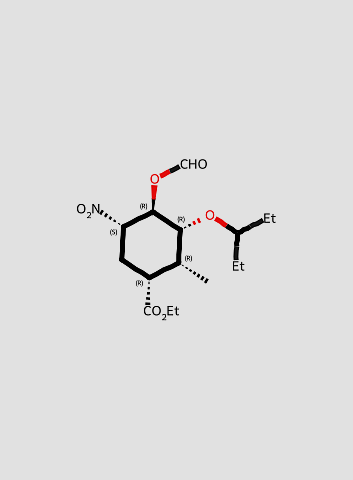 CCOC(=O)[C@@H]1C[C@H]([N+](=O)[O-])[C@@H](OC=O)[C@H](OC(CC)CC)[C@@H]1C